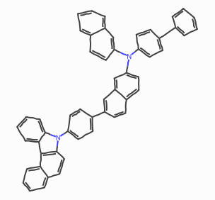 c1ccc(-c2ccc(N(c3ccc4ccccc4c3)c3ccc4ccc(-c5ccc(-n6c7ccccc7c7c8ccccc8ccc76)cc5)cc4c3)cc2)cc1